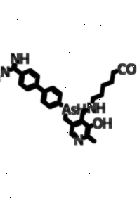 Cc1ncc(C[AsH]c2ccc(-c3ccc(C(=N)N)cc3)cc2)c(CNCCCCCC(=O)O)c1O